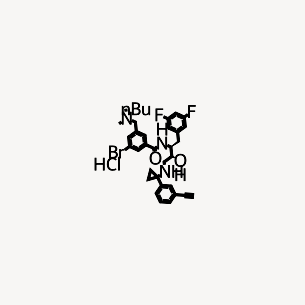 C#Cc1cccc(C2(NC[C@@H](O)[C@H](Cc3cc(F)cc(F)c3)NC(=O)c3cc(Br)cc(CN(C)CCCC)c3)CC2)c1.Cl